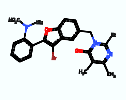 CCc1nc(C)c(C)c(=O)n1Cc1ccc2oc(-c3ccccc3N(C(=O)O)C(C)(C)C)c(Br)c2c1